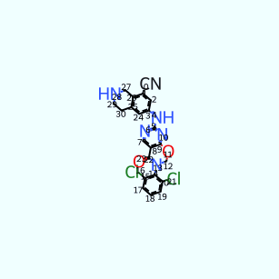 N#Cc1cc(Nc2ncc3c(n2)OCN(c2c(Cl)cccc2Cl)C3=O)cc2c1CNCC2